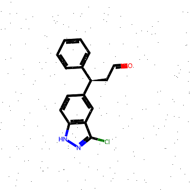 O=CC[C@H](c1ccccc1)c1ccc2[nH]nc(Cl)c2c1